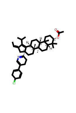 CC=C1C[C@]2(C3=NC=C(C4=CCC(Cl)C=C4)CC3)CC[C@]3(C)[C@H](CC[C@@H]4C5(C)CC[C@H](OC(C)=O)C(C)(C)[C@@H]5CC[C@]43C)C2=C1C(C)C